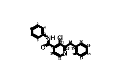 O=C(Nc1ccccc1)c1ccnc(Cc2ccccc2)c1Cl